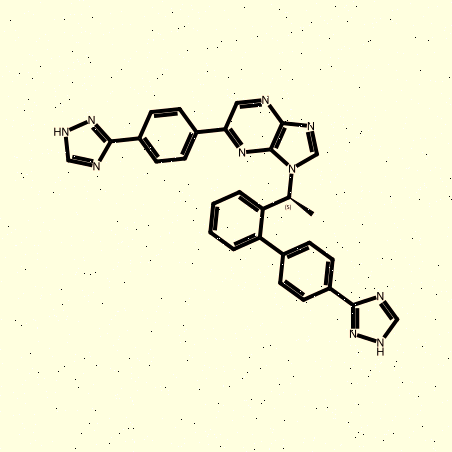 C[C@@H](c1ccccc1-c1ccc(-c2nc[nH]n2)cc1)n1cnc2ncc(-c3ccc(-c4nc[nH]n4)cc3)nc21